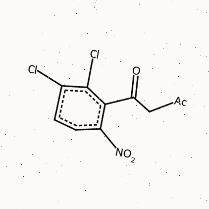 CC(=O)CC(=O)c1c([N+](=O)[O-])ccc(Cl)c1Cl